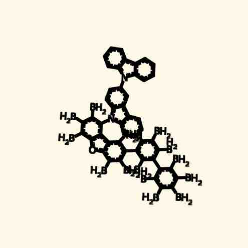 Bc1c(B)c(B)c(-c2c(B)c(B)c(B)c(-c3c(B)c(B)c4oc5c(B)c(B)c(B)c(-n6c7ccccc7c7cc(-n8c9ccccc9c9ccccc98)ccc76)c5c4c3B)c2B)c(B)c1B